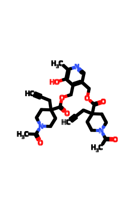 C#CCC1(C(=O)OCc2cnc(C)c(O)c2COC(=O)C2(CC#C)CCN(C(C)=O)CC2)CCN(C(C)=O)CC1